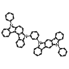 c1ccc(-n2c3ccccc3c3cc4c(cc32)c2ccccc2n4-c2cccc(-n3c4ccccc4c4c5c6ccccc6n(-c6ccccc6)c5ccc43)c2)cc1